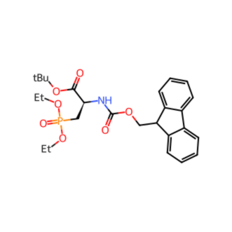 CCOP(=O)(C[C@H](NC(=O)OCC1c2ccccc2-c2ccccc21)C(=O)OC(C)(C)C)OCC